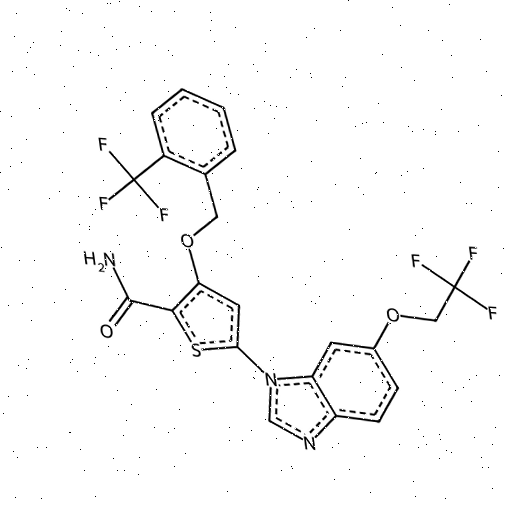 NC(=O)c1sc(-n2cnc3ccc(OCC(F)(F)F)cc32)cc1OCc1ccccc1C(F)(F)F